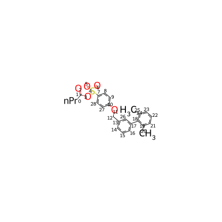 CCCC(=O)OS(=O)(=O)c1ccc(OCc2cccc(-c3c(C)cccc3C)c2)cc1